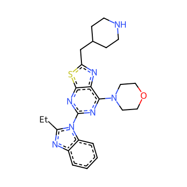 CCc1nc2ccccc2n1-c1nc(N2CCOCC2)c2nc(CC3CCNCC3)sc2n1